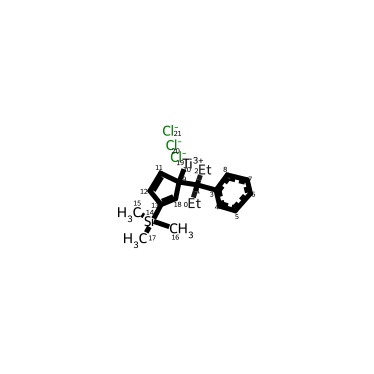 CCC(CC)(c1ccccc1)[C]1([Ti+3])C=CC([Si](C)(C)C)=C1.[Cl-].[Cl-].[Cl-]